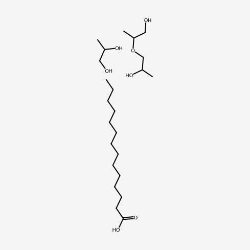 CC(O)CO.CC(O)COC(C)CO.CCCCCCCCCCCCCC(=O)O